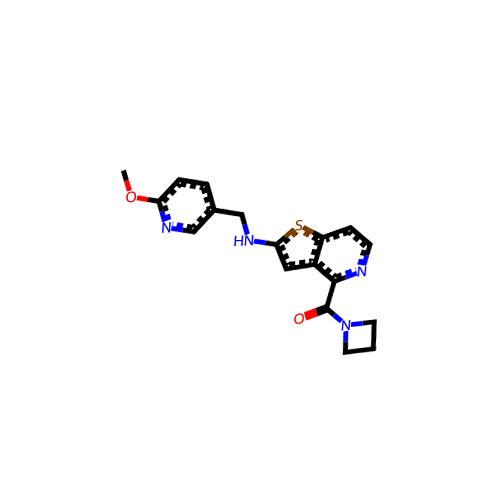 COc1ccc(CNc2cc3c(C(=O)N4CCC4)nccc3s2)cn1